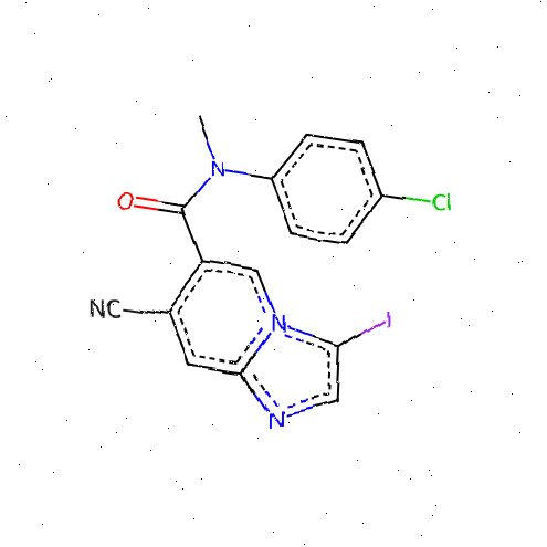 CN(C(=O)c1cn2c(I)cnc2cc1C#N)c1ccc(Cl)cc1